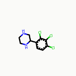 Clc1ccc(C2CNCCN2)c(Cl)c1Cl